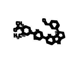 CC(=O)N1CCN(c2ncc(-c3ccc4nc5n(c4n3)[C@@H](c3cccc(C=O)c3)CC5)cn2)C[C@H]1C